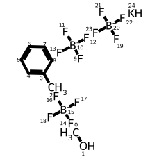 CO.Cc1ccccc1.F[B-](F)(F)F.F[B-](F)(F)F.F[B-](F)(F)F.[KH]